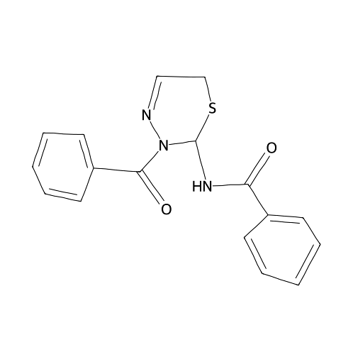 O=C(NC1SCC=NN1C(=O)c1ccccc1)c1ccccc1